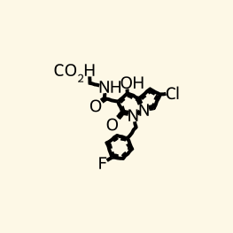 O=C(O)CNC(=O)c1c(O)c2cc(Cl)cn2n(Cc2ccc(F)cc2)c1=O